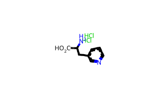 Cl.Cl.NC(Cc1cccnc1)C(=O)O